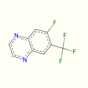 Fc1cc2nc[c]nc2cc1C(F)(F)F